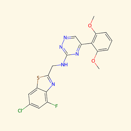 COc1cccc(OC)c1-c1cnnc(NCc2nc3c(F)cc(Cl)cc3s2)n1